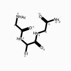 CCC(NC(=O)CNC(C)=O)C(=O)NCC(N)=O